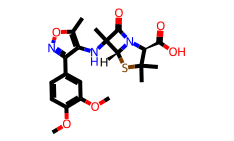 COc1ccc(-c2noc(C)c2NC2(C)C(=O)N3[C@@H](C(=O)O)C(C)(C)S[C@@H]32)cc1OC